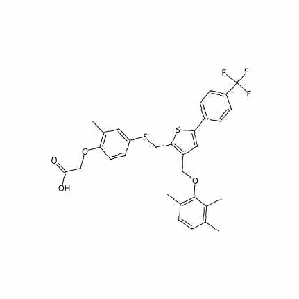 Cc1cc(SCc2sc(-c3ccc(C(F)(F)F)cc3)cc2COc2c(C)ccc(C)c2C)ccc1OCC(=O)O